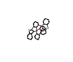 c1ccc2c(c1)Oc1ccccc1N2c1cccc2c1C1(c3ccccc3-c3ccccc31)c1c-2sc2ccccc12